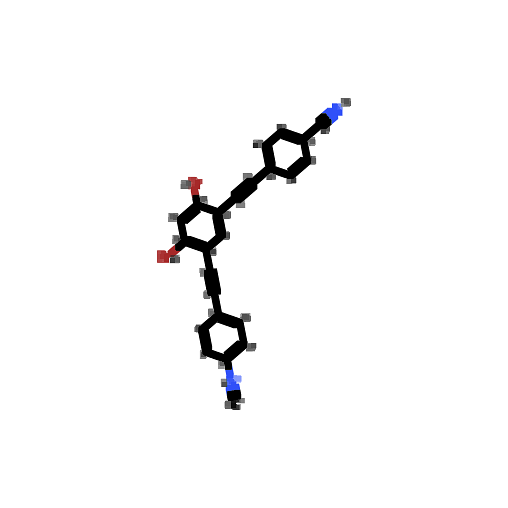 [C-]#[N+]c1ccc(C#Cc2cc(C#Cc3ccc(C#N)cc3)c(Br)cc2Br)cc1